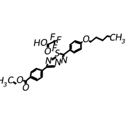 CCCCCOc1ccc(-c2nn3cc(-c4ccc(C(=O)OCC)cc4)nc3s2)cc1.O=C(O)C(F)(F)F